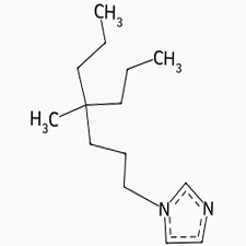 CCCC(C)(CCC)CCCn1ccnc1